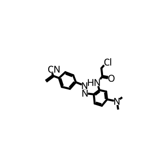 C=C(C#N)c1ccc(N=Nc2ccc(N(C)C)cc2NC(=O)CCl)cc1